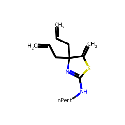 C=CCC1(CC=C)N=C(NCCCCC)SC1=C